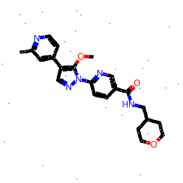 COc1c(-c2ccnc(C)c2)cnn1-c1ccc(C(=O)NCC2CCOCC2)cn1